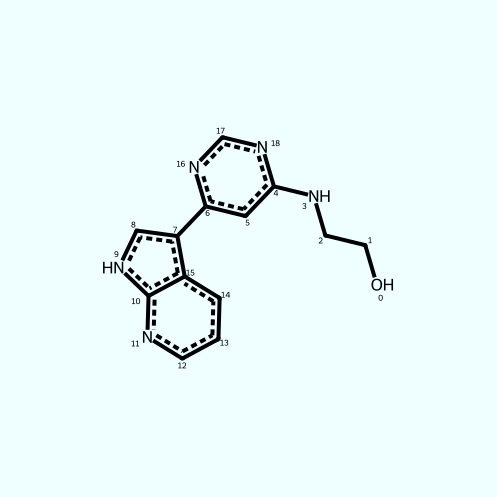 OCCNc1cc(-c2c[nH]c3ncccc23)ncn1